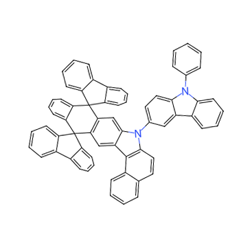 c1ccc(-n2c3ccccc3c3cc(-n4c5cc6c(cc5c5c7ccccc7ccc54)C4(c5ccccc5-c5ccccc54)c4ccccc4C64c5ccccc5-c5ccccc54)ccc32)cc1